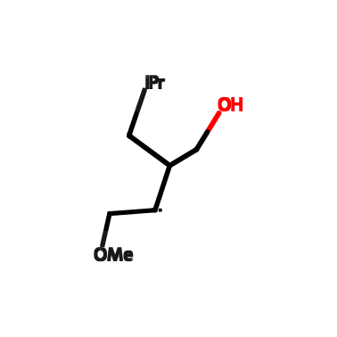 COC[CH]C(CO)CC(C)C